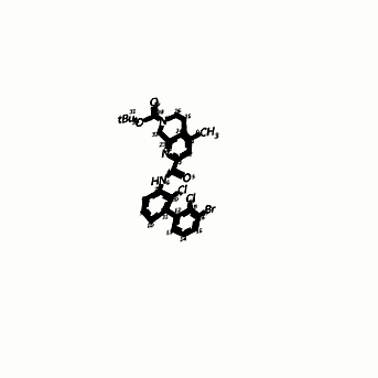 Cc1cc(C(=O)Nc2cccc(-c3cccc(Br)c3Cl)c2Cl)nc2c1CCN(C(=O)OC(C)(C)C)C2